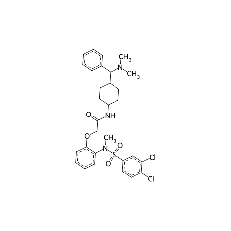 CN(C)C(c1ccccc1)C1CCC(NC(=O)COc2ccccc2N(C)S(=O)(=O)c2ccc(Cl)c(Cl)c2)CC1